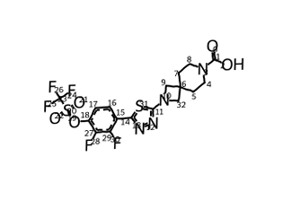 O=C(O)N1CCC2(CC1)CN(c1nnc(-c3ccc(OS(=O)(=O)C(F)(F)F)c(F)c3F)s1)C2